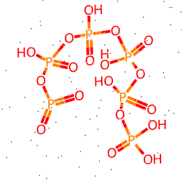 O=P(=O)OP(=O)(O)OP(=O)(O)OP(=O)(O)OP(=O)(O)OP(=O)(O)O